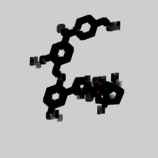 Cc1ccc(OCc2ccc(C(=O)N3CCC(CO)CC3)cc2C)c(-c2csc(N3C[C@H]4CC[C@H](C3)C4C(=O)O)n2)c1